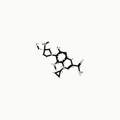 CN[C@]1(CF)CCN(c2c(F)cc3c(c2OC)N(C2CC2)C=C(C(=O)O)C3)C1